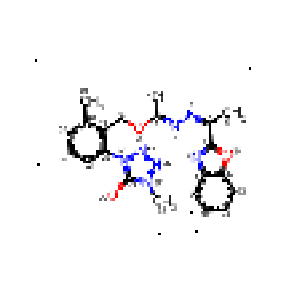 CC/C(=N\N=C(\C)c1nc2ccccc2o1)OCc1c(C)cccc1-n1nnn(C)c1=O